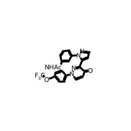 CC(=O)Nc1cccc(-n2nccc2-c2nn(-c3ccc(OC(F)(F)F)cc3)ccc2=O)c1